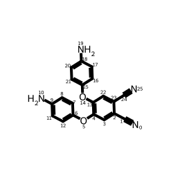 N#Cc1cc(Oc2ccc(N)cc2)c(Oc2ccc(N)cc2)cc1C#N